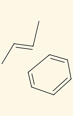 C/C=C/C.c1ccccc1